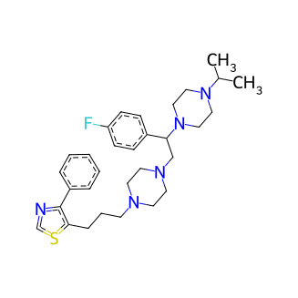 CC(C)N1CCN(C(CN2CCN(CCCc3scnc3-c3ccccc3)CC2)c2ccc(F)cc2)CC1